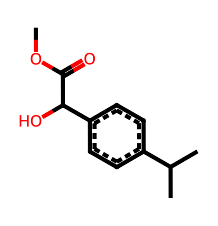 COC(=O)C(O)c1ccc(C(C)C)cc1